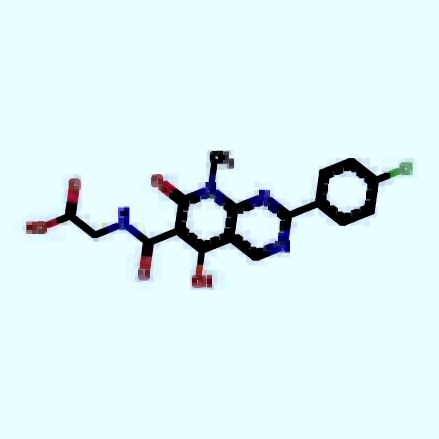 Cn1c(=O)c(C(=O)NCC(=O)O)c(O)c2cnc(-c3ccc(Cl)cc3)nc21